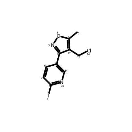 Cc1onc(-c2ccc(I)nc2)c1CCl